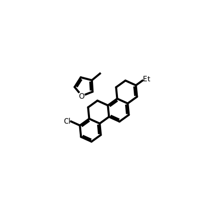 CCC1=Cc2ccc3c(c2CC1)CCc1c(Cl)cccc1-3.Cc1ccoc1